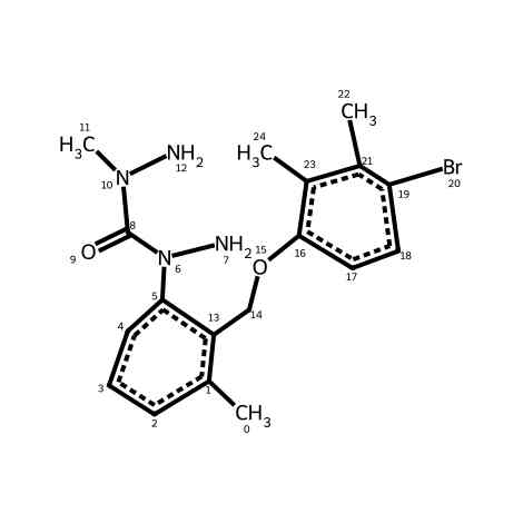 Cc1cccc(N(N)C(=O)N(C)N)c1COc1ccc(Br)c(C)c1C